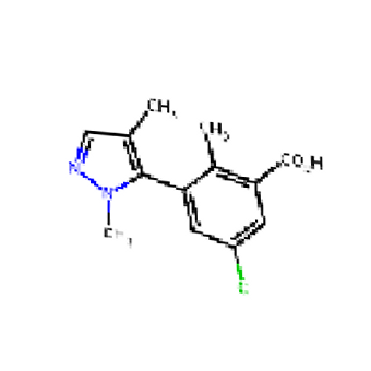 Cc1cnn(C)c1-c1cc(Cl)cc(C(=O)O)c1C